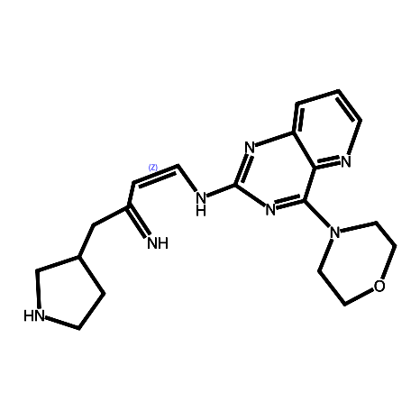 N=C(/C=C\Nc1nc(N2CCOCC2)c2ncccc2n1)CC1CCNC1